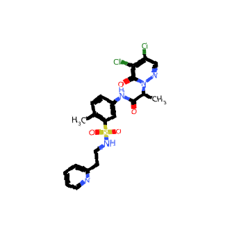 Cc1ccc(NC(=O)C(C)n2ncc(Cl)c(Cl)c2=O)cc1S(=O)(=O)NCCc1ccccn1